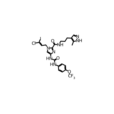 Cc1[nH]ncc1CCCNC(=O)c1nc(NC(=O)Nc2ccc(OC(F)(F)F)cc2)cn1C/C=C(/Cl)I